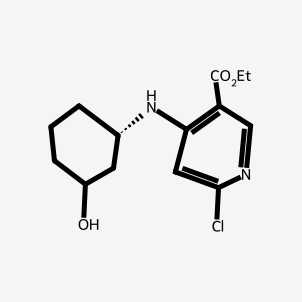 CCOC(=O)c1cnc(Cl)cc1N[C@H]1CCCC(O)C1